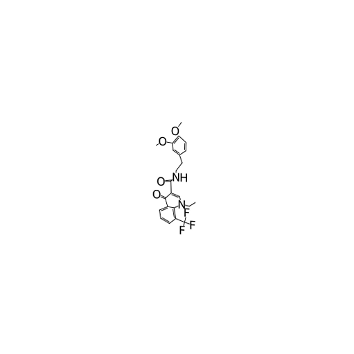 CCn1cc(C(=O)NCCc2ccc(OC)c(OC)c2)c(=O)c2cccc(C(F)(F)F)c21